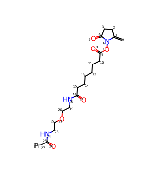 C=C1CCC(=O)N1OC(=O)CCCCCCC(=O)NCCOCCNC(=O)C(C)C